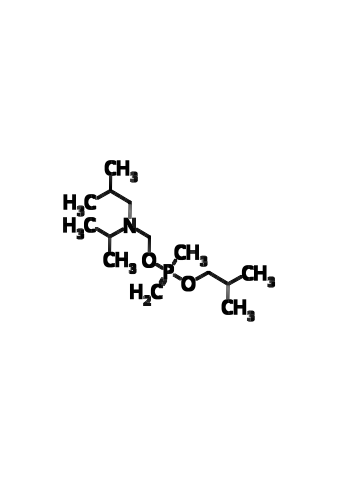 C=P(C)(OCC(C)C)OCN(CC(C)C)C(C)C